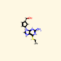 CC(C)CSc1nc(N)nc2c1ncn2[C@H]1C=C[C@@H](CO)C1